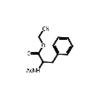 CC(=O)NC(Cc1ccccc1)C(=O)OCC#N